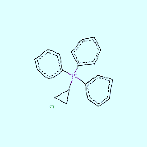 [Cl-].c1ccc([P+](c2ccccc2)(c2ccccc2)C2CC2)cc1